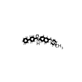 CN1CCN(CC2=Cc3ccc(NC(=O)c4ccc(-c5ccccc5)cc4)cc3CC2)CC1